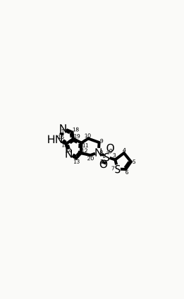 O=S(=O)(C1CC=CS1)N1CCc2c(cnc3[nH]ncc23)C1